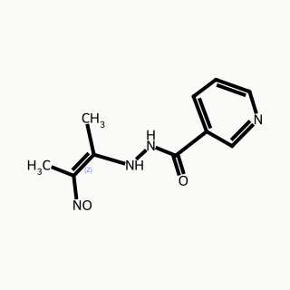 C/C(N=O)=C(\C)NNC(=O)c1cccnc1